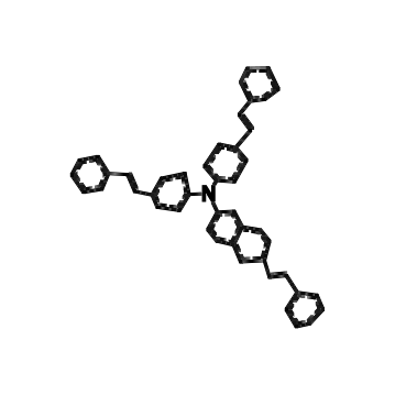 C(=C\c1ccc(N(c2ccc(/C=C/c3ccccc3)cc2)c2ccc3cc(/C=C/c4ccccc4)ccc3c2)cc1)/c1ccccc1